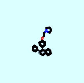 c1ccc([C@@H]2CCc3ccccc3[C@@H]2c2ccc(OCCN3CCCC3)cc2)cc1